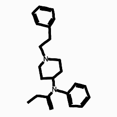 C=C(CC)N(c1ccccc1)C1CCN(CCc2ccccc2)CC1